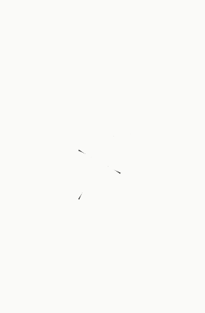 O[C@H]1C[C@@H]2CC3(C[C@@H]2C1)OCCO3